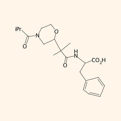 CC(C)C(=O)N1CCOC(C(C)(C)C(=O)NC(Cc2ccccc2)C(=O)O)C1